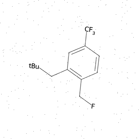 CC(C)(C)Cc1cc(C(F)(F)F)ccc1CF